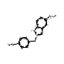 COc1ccc(Cn2cc3cc(C(=O)O)ccc3n2)cc1